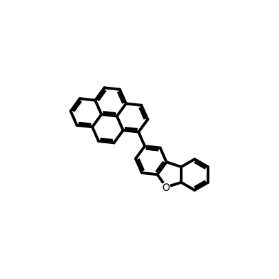 C1=CC2Oc3ccc(-c4ccc5ccc6cccc7ccc4c5c67)cc3C2C=C1